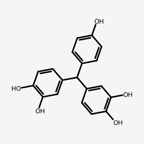 Oc1ccc(C(c2ccc(O)c(O)c2)c2ccc(O)c(O)c2)cc1